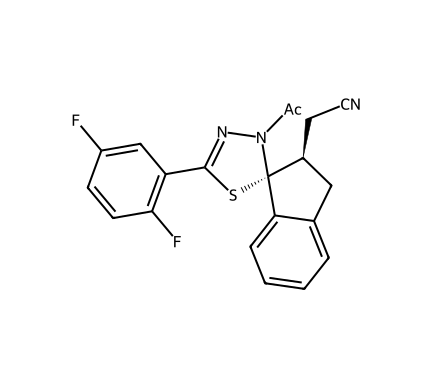 CC(=O)N1N=C(c2cc(F)ccc2F)S[C@]12c1ccccc1C[C@@H]2CC#N